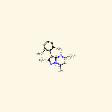 COc1cccc(C)c1-c1c(C)nn2c(C(C)C)cc(C(=O)O)nc12